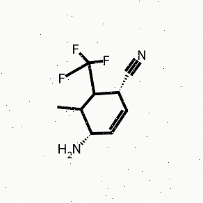 CC1C(C(F)(F)F)[C@H](C#N)C=C[C@@H]1N